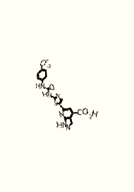 O=C(Nc1ccc(C(F)(F)F)cc1)Nc1ncc(-c2cc(C(=O)O)c3cn[nH]c3n2)s1